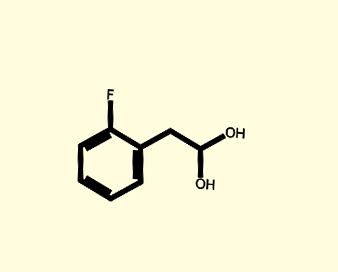 OC(O)Cc1ccccc1F